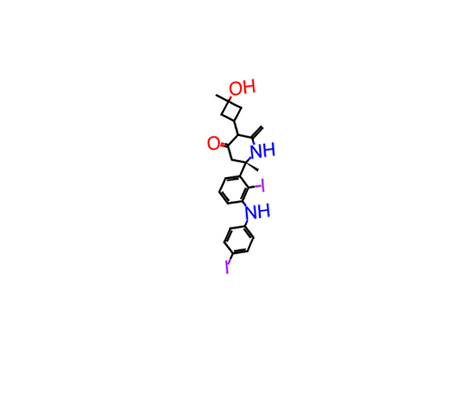 C=C1N[C@](C)(c2cccc(Nc3ccc(I)cc3)c2I)CC(=O)C1C1CC(C)(O)C1